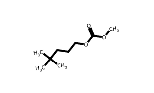 COC(=O)OCCCC(C)(C)C